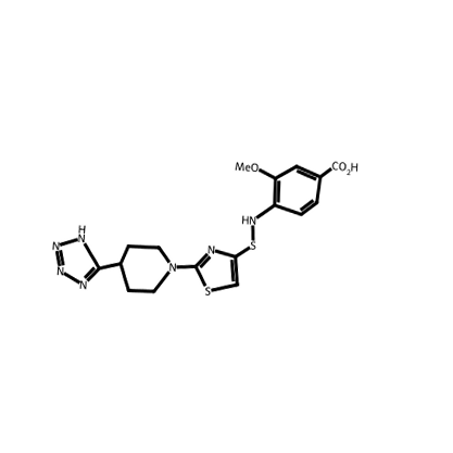 COc1cc(C(=O)O)ccc1NSc1csc(N2CCC(c3nnn[nH]3)CC2)n1